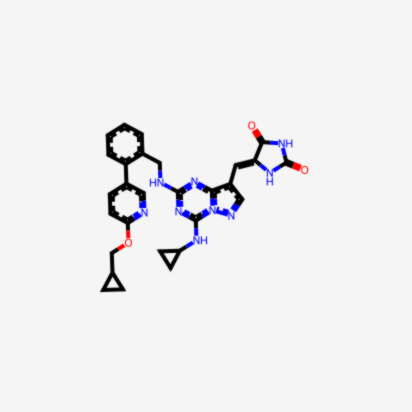 O=C1NC(=O)/C(=C/c2cnn3c(NC4CC4)nc(NCc4ccccc4-c4ccc(OCC5CC5)nc4)nc23)N1